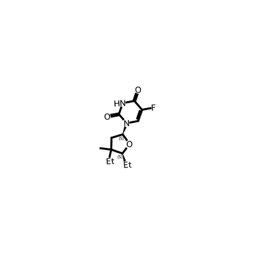 CC[C@@H]1O[C@H](n2cc(F)c(=O)[nH]c2=O)CC1(C)CC